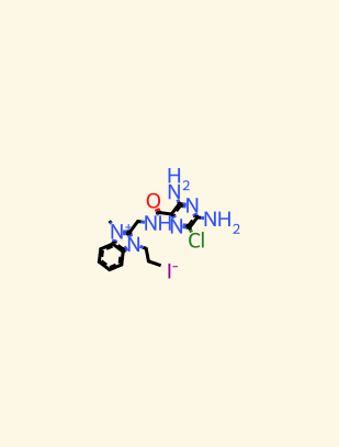 CCCn1c(CNC(=O)c2nc(Cl)c(N)nc2N)[n+](C)c2ccccc21.[I-]